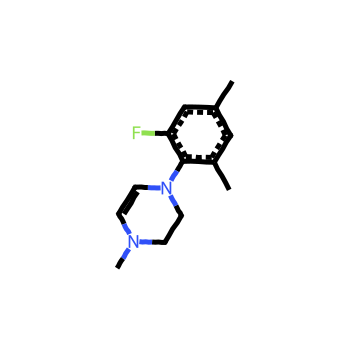 Cc1cc(C)c(N2C=CN(C)CC2)c(F)c1